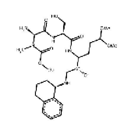 COC(CCC(NC(=O)[C@H](CO)NC(=O)[C@H](N)N(C)C(=O)OC(C)(C)C)[S@+]([O-])CN[C@@H]1CCCc2ccccc21)OC